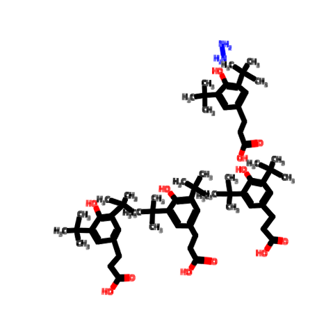 CC(C)(C)c1cc(CCC(=O)O)cc(C(C)(C)C)c1O.CC(C)(C)c1cc(CCC(=O)O)cc(C(C)(C)C)c1O.CC(C)(C)c1cc(CCC(=O)O)cc(C(C)(C)C)c1O.CC(C)(C)c1cc(CCC(=O)O)cc(C(C)(C)C)c1O.NN